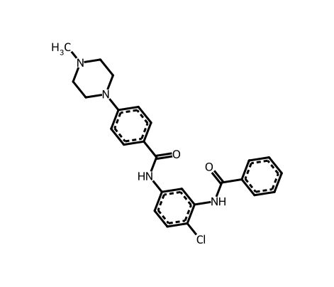 CN1CCN(c2ccc(C(=O)Nc3ccc(Cl)c(NC(=O)c4ccccc4)c3)cc2)CC1